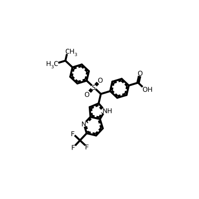 CC(C)c1ccc(S(=O)(=O)C(c2ccc(C(=O)O)cc2)c2cc3nc(C(F)(F)F)ccc3[nH]2)cc1